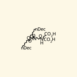 CCCCCCCCCCCCCCCC(=O)OC(CCCCCCCCCCCCCCC)CC(=O)NCCC(=O)N[C@@H](CCC(=O)O)C(=O)O